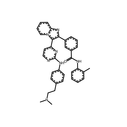 Cc1ccccc1NC(=O)c1cccc(-c2nc3ccccn3c2-c2ccnc(Nc3ccc(CCN(C)C)cc3)n2)c1